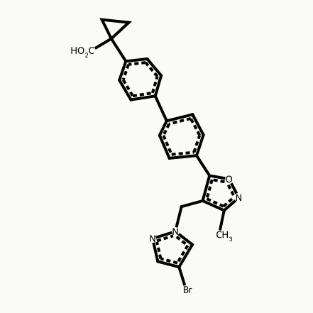 Cc1noc(-c2ccc(-c3ccc(C4(C(=O)O)CC4)cc3)cc2)c1Cn1cc(Br)cn1